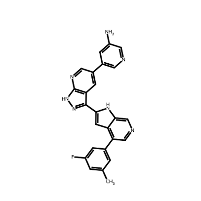 Cc1cc(F)cc(-c2cncc3[nH]c(-c4n[nH]c5ncc(-c6cncc(N)c6)cc45)cc23)c1